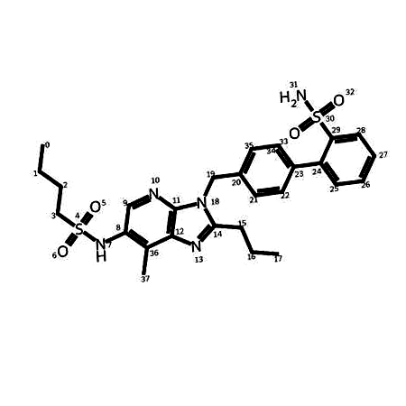 CCCCS(=O)(=O)Nc1cnc2c(nc(CCC)n2Cc2ccc(-c3ccccc3S(N)(=O)=O)cc2)c1C